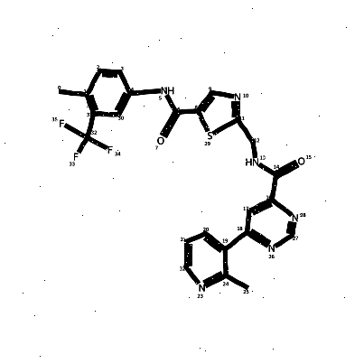 Cc1ccc(NC(=O)c2cnc(CNC(=O)c3cc(-c4cccnc4C)ncn3)s2)cc1C(F)(F)F